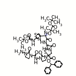 CC(C)(C)OC(=O)Nc1nc(/C(=N/OC(C)(C)C(=O)OC(C)(C)C)C(=O)N[C@@H]2C(=O)N3C[C@@](C(=O)OC(c4ccccc4)c4ccccc4)(N4CCN(NC(=O)N5CCN(N)C5=O)C4=O)S[C@@H]23)cs1